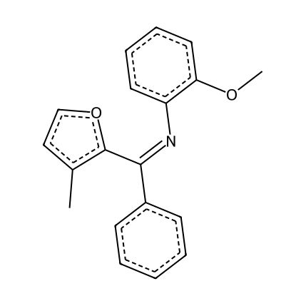 COc1ccccc1N=C(c1ccccc1)c1occc1C